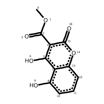 COC(=O)c1c(O)c2c(O)cccc2oc1=O